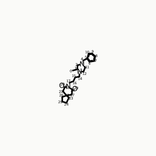 CC1CN(Cc2ccccc2)CCN1CCCCN1C(=O)CC2(CCCC2)CC1=O